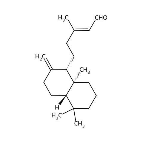 C=C1CC[C@H]2C(C)(C)CCC[C@]2(C)[C@H]1CCC(C)=CC=O